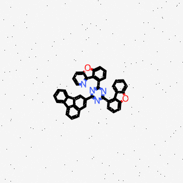 c1ccc2c(c1)-c1cccc3cc(-c4nc(-c5cccc6oc7ccccc7c56)nc(-c5cccc6oc7cccnc7c56)n4)cc-2c13